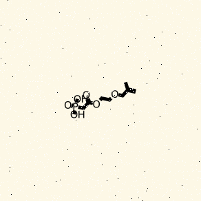 C=C(C)COCCOC(=O)CP(=O)(O)O